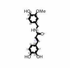 COc1cc(CNC(=O)/C=C/c2ccc(O)c(O)c2)ccc1O